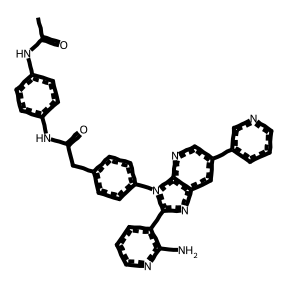 CC(=O)Nc1ccc(NC(=O)Cc2ccc(-n3c(-c4cccnc4N)nc4cc(-c5cccnc5)cnc43)cc2)cc1